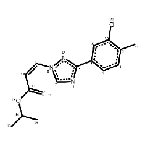 Cc1ccc(-c2ncn(/C=C\C(=O)OC(C)C)n2)cc1Cl